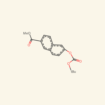 COC(=O)c1ccc2cc(OC(=O)OC(C)(C)C)ccc2c1